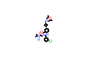 CC(C)NC(=O)Cn1c(-c2cccc(Cl)c2)nc2ccc([C@H]3C[C@H](CN4CC(C)OC(C)C4)C3)cc2c1=O